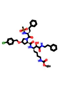 CC(C)(C)OC(=O)NCCCC[C@H](NC(=O)[C@@H]1C[C@@H](OCc2ccc(Cl)cc2)CN1C(=O)[C@@H](CCc1ccccc1)NS(C)(=O)=O)C(O)C(=O)NCCc1ccccc1